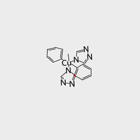 [CH3][Cu]([c]1ccccc1)([c]1ccccc1)([n]1cnnc1)[n]1cnnc1